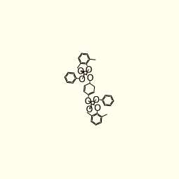 Cc1cccc(C)c1OP(=O)(OC1=CCC(OP(=O)(Oc2ccccc2)Oc2c(C)cccc2C)C=C1)Oc1ccccc1